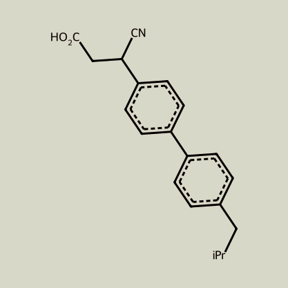 CC(C)Cc1ccc(-c2ccc(C(C#N)CC(=O)O)cc2)cc1